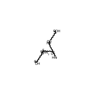 CNCCCC(=O)OC(CCCCCCC(F)(F)C(=O)OCCCCCCCCC(=O)O)CCCCCCC(F)(P)C(=O)OCCCCCCCCC(=O)O